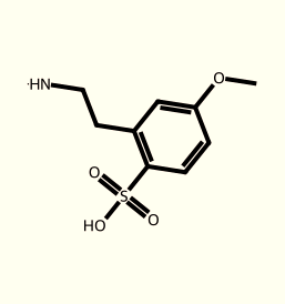 COc1ccc(S(=O)(=O)O)c(CC[NH])c1